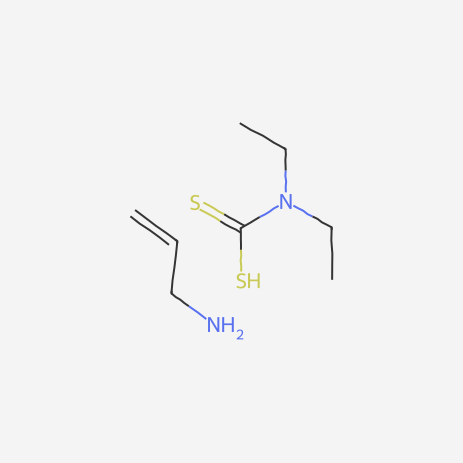 C=CCN.CCN(CC)C(=S)S